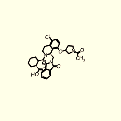 CC(=O)N1CCC(Oc2ccc(Cl)c3c2[C@@H](CN2C(=O)c4ccccc4C2=O)N(C(=O)[C@@H]2CCCC[C@@H]2C(=O)O)CC3)C1